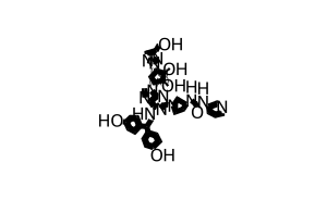 O=C(Nc1cccnc1)NC1CCN(c2nc(NCC(c3ccc(O)cc3)c3ccc(O)cc3)c3ncn([C@@H]4C[C@H](n5ncc(CO)n5)[C@@H](O)[C@H]4O)c3n2)C1